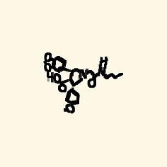 CCCCNC(=O)CN1C[C@H](c2ccc(OC)cc2)[C@@H](C(=O)O)[C@@H](c2ccc3c(c2)OCO3)C1